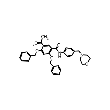 C=C(C)c1cc(C(=O)Nc2ccc(CN3CCOCC3)cc2)c(OCc2ccccc2)cc1OCc1ccccc1